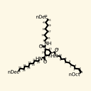 CCCCCCCC/C=C\CCCCCCCCNC(=O)[C@H]1C[C@@H](C(=O)NCCCCCCCCCCCCCCCCCC)C[C@@H](C(=O)NCCCCCCCCCCCCCCCCCC)C1